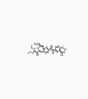 CCCN(CCC)C(=O)C1=Cc2ccc(C(=O)Nc3ccc4c(c3)NCCC4)cc2N=C(N)C1